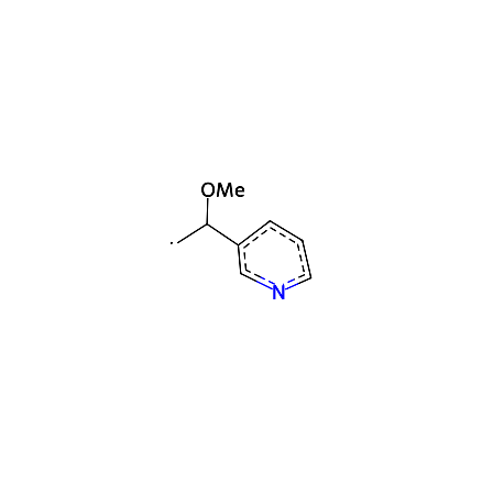 [CH2]C(OC)c1cccnc1